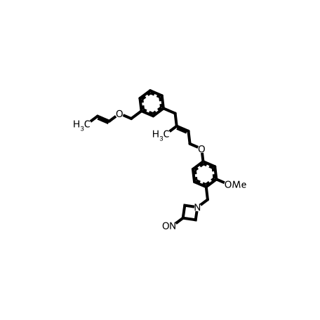 C/C=C/OCc1cccc(C/C(C)=C/COc2ccc(CN3CC(N=O)C3)c(OC)c2)c1